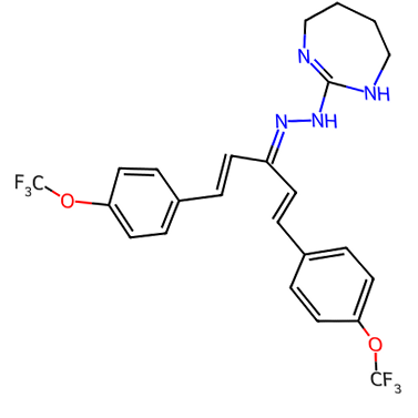 FC(F)(F)Oc1ccc(C=CC(C=Cc2ccc(OC(F)(F)F)cc2)=NNC2=NCCCCN2)cc1